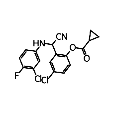 N#CC(Nc1ccc(F)c(Cl)c1)c1cc(Cl)ccc1OC(=O)C1CC1